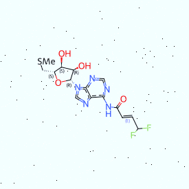 CSC[C@H]1O[C@@H](n2cnc3c(NC(=O)/C=C/C(F)F)ncnc32)[C@H](O)[C@@H]1O